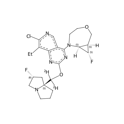 [2H]C([2H])(Oc1nc(N2CCOC[C@H]3[C@H](F)[C@H]32)c2cnc(Cl)c(CC)c2n1)[C@@]12CCCN1C[C@H](F)C2